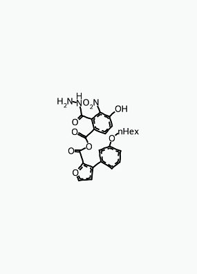 CCCCCCOc1cccc(-c2ccoc2C(=O)OC(=O)c2ccc(O)c([N+](=O)[O-])c2C(=O)NN)c1